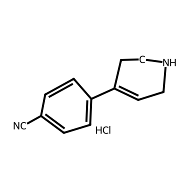 Cl.N#Cc1ccc(C2=CCNCC2)cc1